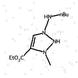 CCCCNN1C=C(C(=O)OCC)N(C)N1